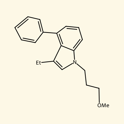 CCc1cn(CCCOC)c2cccc(-c3ccccc3)c12